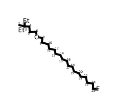 CCC(C)(CC)CCCOCCCCCCCCCCCCCCCCCCF